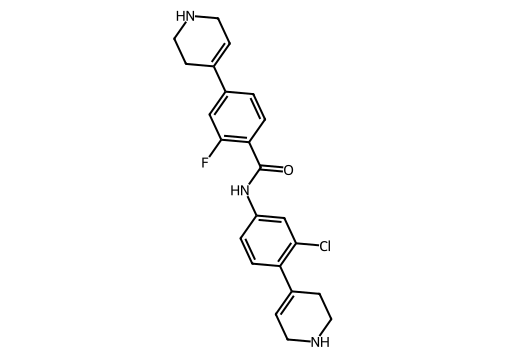 O=C(Nc1ccc(C2=CCNCC2)c(Cl)c1)c1ccc(C2=CCNCC2)cc1F